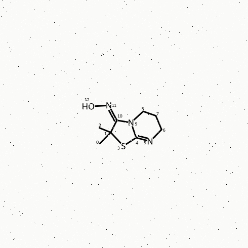 CC1(C)SC2=NCCCN2C1=NO